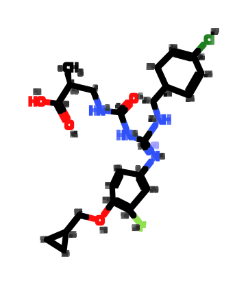 C[C@@H](CNC(=O)N/C(=N\c1ccc(OCC2CC2)c(F)c1)NCC1C=CC(Cl)=CC1)C(=O)O